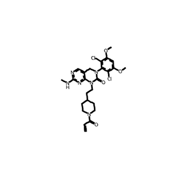 C=CC(=O)N1CCC(CCN2C(=O)N(c3c(Cl)c(OC)cc(OC)c3Cl)Cc3cnc(NC)nc32)CC1